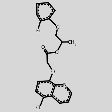 CCc1ccccc1OCC(C)OC(=O)COc1ccc(Cl)c2cccnc12